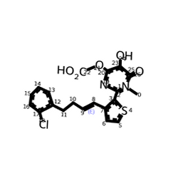 Cn1c(-c2sccc2/C=C/CCc2ccccc2Cl)nc(OC(=O)O)c(O)c1=O